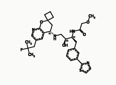 COCC(=O)N[C@@H](Cc1cccc(-c2nccs2)c1)[C@@H](O)CN[C@H]1CC2(CCC2)Oc2ncc(CC(C)(C)F)cc21